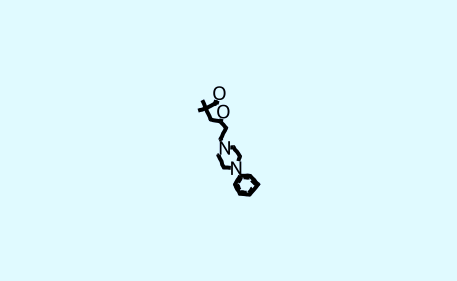 CC1(C)CC(CCN2CCN(c3ccccc3)CC2)OC1=O